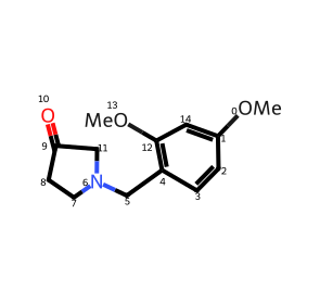 COc1ccc(CN2CCC(=O)C2)c(OC)c1